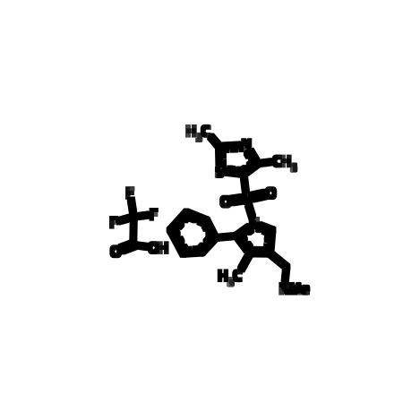 CNCc1cn(S(=O)(=O)c2sc(C)nc2C)c(-c2ccccc2)c1C.O=C(O)C(F)(F)F